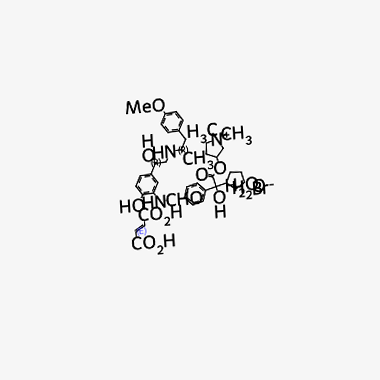 COc1ccc(C[C@@H](C)NC[C@H](O)c2ccc(O)c(NC=O)c2)cc1.C[N+]1(C)CCC(OC(=O)C(O)(c2ccccc2)C2CCCC2)C1.O.O.O=C(O)/C=C/C(=O)O.[Br-]